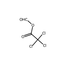 O=COC(=O)C(Cl)(Cl)Cl